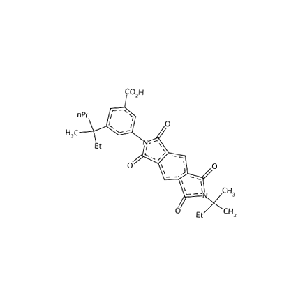 CCCC(C)(CC)c1cc(C(=O)O)cc(-n2c(=O)c3cc4c(=O)n(C(C)(C)CC)c(=O)c4cc3c2=O)c1